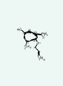 C=CCOc1c(C)cc(C(C)(C)C)cc1C